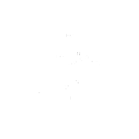 C=CC(c1ccc(OCc2cc(F)ccc2C(F)(F)F)nc1)S(=O)(=O)N1CCC(O)CC1C(=O)O